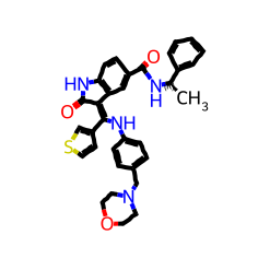 C[C@@H](NC(=O)c1ccc2c(c1)C(=C(Nc1ccc(CN3CCOCC3)cc1)c1ccsc1)C(=O)N2)c1ccccc1